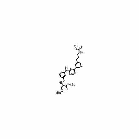 CC(C)(C)OCC(NCc1cccc(Nc2ncnc(-c3cncc(CCCNC(=O)OC(C)(C)C)c3)n2)c1)C(=O)OC(C)(C)C